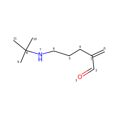 C=C(C=O)CCCNC(C)(C)C